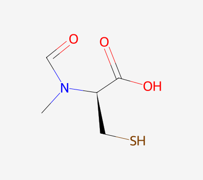 CN(C=O)[C@H](CS)C(=O)O